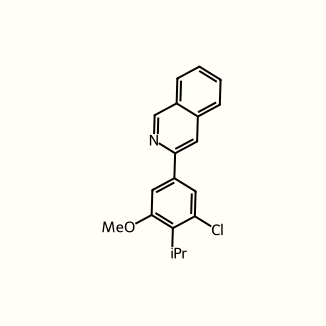 COc1cc(-c2cc3ccccc3cn2)cc(Cl)c1C(C)C